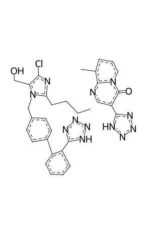 CCCCc1nc(Cl)c(CO)n1Cc1ccc(-c2ccccc2-c2nnn[nH]2)cc1.Cc1cccn2c(=O)c(-c3nnn[nH]3)cnc12